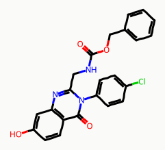 O=C(NCc1nc2cc(O)ccc2c(=O)n1-c1ccc(Cl)cc1)OCc1ccccc1